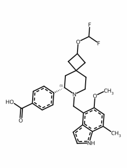 COc1cc(C)c2[nH]ccc2c1CN1CCC2(CC(OC(F)F)C2)C[C@H]1c1ccc(C(=O)O)cc1